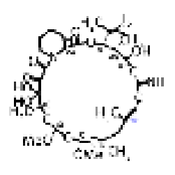 C=C(C)[C@H]1OC(=O)[C@@H]2CCCCN2C(=O)C(=O)C(O)(O)[C@H](C)C[C@H](OC)C[C@@H](OC)C[C@@H](C)C/C(C)=C/CC(=N)C[C@H](O)[C@H]1C